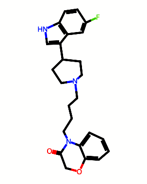 O=C1COc2ccccc2N1CCCCN1CCC(c2c[nH]c3ccc(F)cc23)CC1